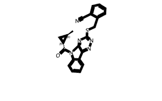 C[C@@H]1C[C@H]1C(=O)n1c2ccccc2c2nnc(SCc3ccccc3C#N)nc21